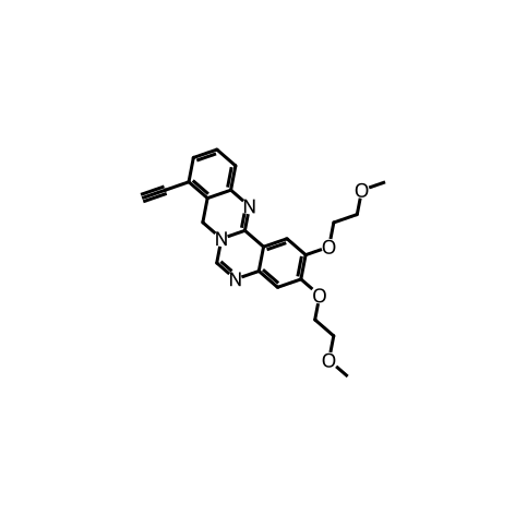 C#Cc1cccc2c1CN1C=Nc3cc(OCCOC)c(OCCOC)cc3C1=N2